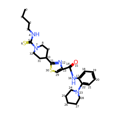 CCCCNC(=S)N1CCC(c2nc(C(=O)Nc3ccccc3N3CCCCC3)cs2)CC1